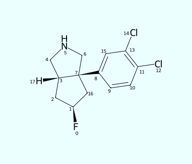 F[C@H]1C[C@@H]2CNC[C@]2(c2ccc(Cl)c(Cl)c2)C1